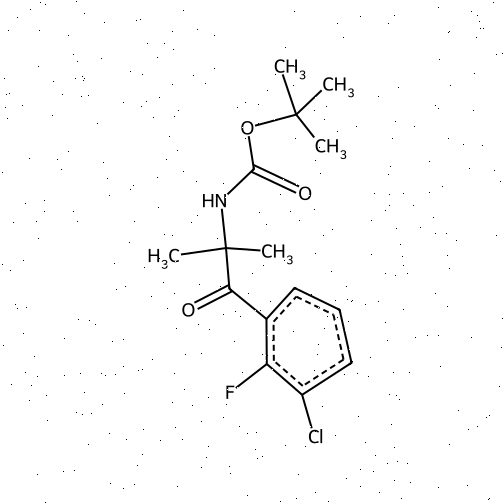 CC(C)(C)OC(=O)NC(C)(C)C(=O)c1cccc(Cl)c1F